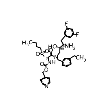 CCCCS(=O)(=O)C[C@@H](NC(=O)OCc1ccncc1)C(=O)N(Cc1cccc(CC)c1)C[C@@H](O)[C@@H](N)Cc1cc(F)cc(F)c1